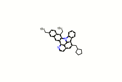 CC(C)(C)Cc1ccc2c(CC(C)(C)C)c3c(cc2c1)c1nccc2cc(CC4CCCC4)c4c5ccccc5n3c4c21